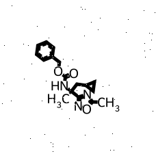 Cc1nc([C@@](C)(CC2CC2)NC(=O)OCc2ccccc2)no1